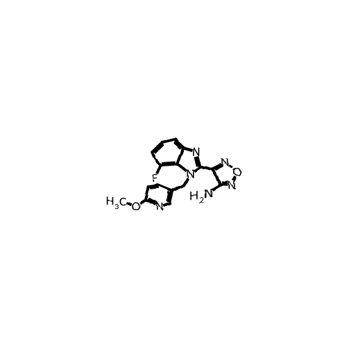 COc1ccc(Cn2c(-c3nonc3N)nc3cccc(F)c32)cn1